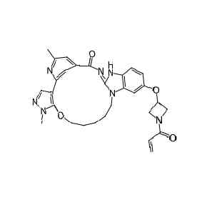 C=CC(=O)N1CC(Oc2ccc3c(c2)N2CCCCCOc4c(cnn4C)-c4cc(cc(C)n4)C(=O)/N=C/2N3)C1